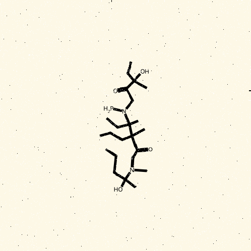 CCCC(C)(O)N(C)CC(=O)C(C)(CCC)C(C)(CC)N(P)CC(=O)C(C)(O)CC